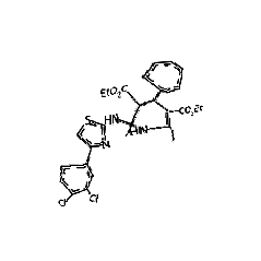 CCOC(=O)C1=C(C)NC(C)(Nc2nc(-c3ccc(Cl)c(Cl)c3)cs2)C(C(=O)OCC)C1c1ccccc1